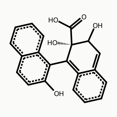 O=C(O)[C@]1(O)C(c2c(O)ccc3ccccc23)=c2ccccc2=CC1O